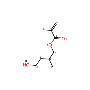 C=C(C)C(=O)OCC(C)CCO